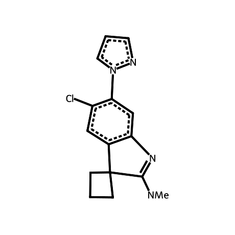 CNC1=Nc2cc(-n3cccn3)c(Cl)cc2C12CCC2